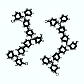 Cc1cccc(N(c2ccc(-c3ccc(N(c4ccccc4)c4ccc(Cl)cc4)cc3)cc2)c2ccc(-c3ccc(N(c4ccccc4)c4ccc(Cl)cc4)cc3)cc2)c1.Cc1cccc(N(c2ccc(-c3ccc(N(c4ccccc4)c4cccc(Cl)c4)cc3)cc2)c2ccc(-c3ccc(N(c4ccccc4)c4cccc(Cl)c4)cc3)cc2)c1